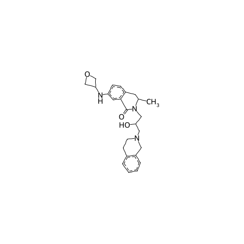 CC1Cc2ccc(NC3COC3)cc2C(=O)N1CC(O)CN1CCc2ccccc2C1